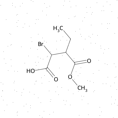 CCC(C(=O)OC)C(Br)C(=O)O